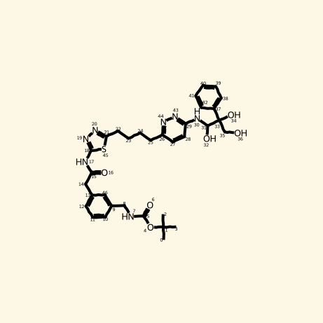 CC(C)(C)OC(=O)NCc1cccc(CC(=O)Nc2nnc(CCCCc3ccc(NC(O)C(O)(CO)c4ccccc4)nn3)s2)c1